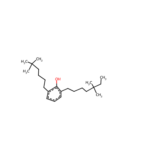 CCC(C)(C)CCCCc1cccc(CCCCC(C)(C)C)c1O